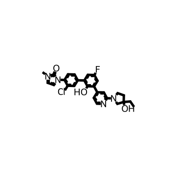 CCC1(O)CCN(c2cc(-c3cc(F)cc(-c4ccc(-n5ccn(C)c5=O)c(Cl)c4)c3O)ccn2)C1